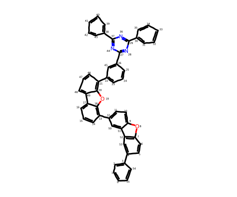 c1ccc(-c2ccc3oc4ccc(-c5cccc6c5oc5c(-c7cccc(-c8nc(-c9ccccc9)nc(-c9ccccc9)n8)c7)cccc56)cc4c3c2)cc1